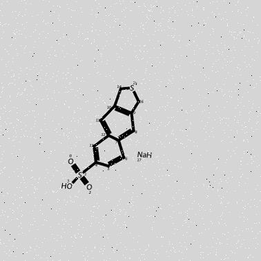 O=S(=O)(O)c1ccc2cc3c(cc2c1)CSC3.[NaH]